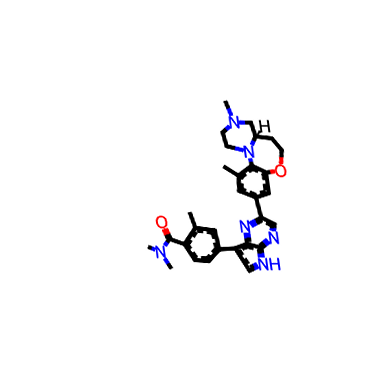 Cc1cc(-c2c[nH]c3ncc(-c4cc(C)c5c(c4)OCC[C@@H]4CN(C)CCN54)nc23)ccc1C(=O)N(C)C